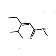 CC/C(=C/C(=O)NC)C(C)C